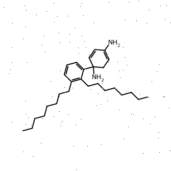 CCCCCCCCc1cccc(C2(N)C=CC(N)=CC2)c1CCCCCCCC